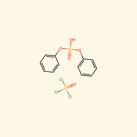 O=P(Cl)(Cl)Cl.O=P(O)(Oc1ccccc1)Oc1ccccc1